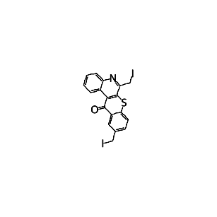 O=c1c2cc(CI)ccc2sc2c(CI)nc3ccccc3c12